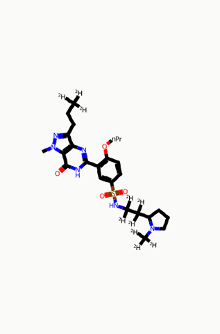 [2H]C([2H])([2H])CCc1nn(C)c2c(=O)[nH]c(-c3cc(S(=O)(=O)NC([2H])([2H])C([2H])([2H])C4CCCN4C([2H])([2H])[2H])ccc3OCCC)nc12